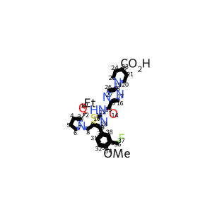 CCOC[C@H]1CCCN1Cc1sc(NC(=O)c2cnc(N3CCC(C(=O)O)CC3)cn2)nc1-c1ccc(OC)c(CF)c1